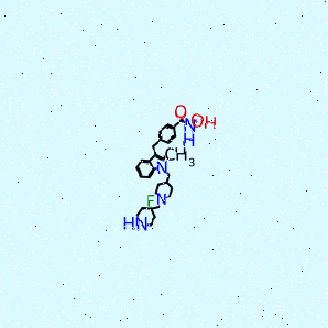 Cc1c(Cc2ccc(C(=O)NO)cc2)c2ccccc2n1CC1CCN(CC2(F)CCNCC2)CC1